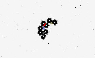 c1ccc(-c2ccccc2N(c2ccc(-c3cccc4c3sc3ccccc34)cc2)c2cccc3c2-c2ccccc2C32CC3CCC2C3)cc1